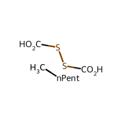 CCCCCC.O=C(O)SSC(=O)O